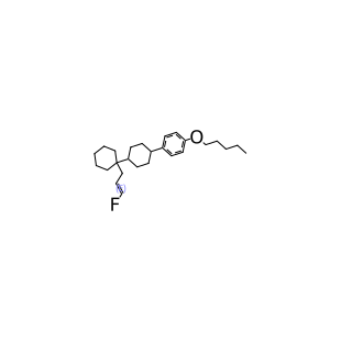 CCCCCOc1ccc(C2CCC(C3(C/C=C/F)CCCCC3)CC2)cc1